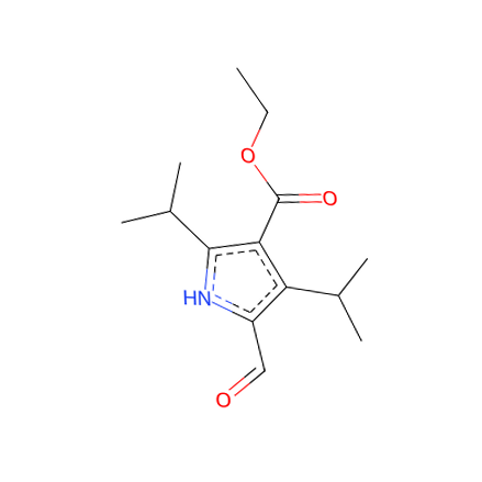 CCOC(=O)c1c(C(C)C)[nH]c(C=O)c1C(C)C